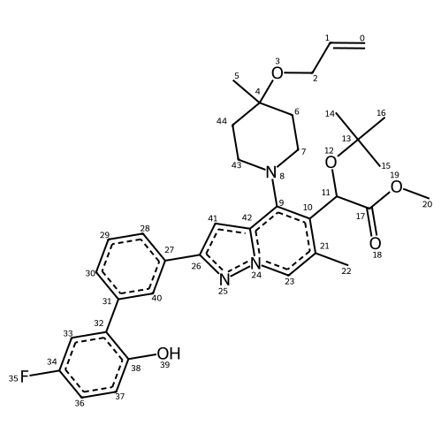 C=CCOC1(C)CCN(c2c(C(OC(C)(C)C)C(=O)OC)c(C)cn3nc(-c4cccc(-c5cc(F)ccc5O)c4)cc23)CC1